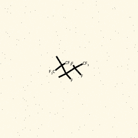 CC(F)(C(F)(F)C(F)(F)F)C(C)(C(F)(F)F)C(F)(F)F